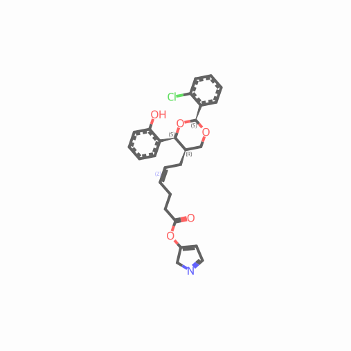 O=C(CC/C=C\C[C@@H]1CO[C@H](c2ccccc2Cl)O[C@@H]1c1ccccc1O)OC1=CC=NC1